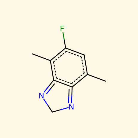 Cc1cc(F)c(C)c2c1=NCN=2